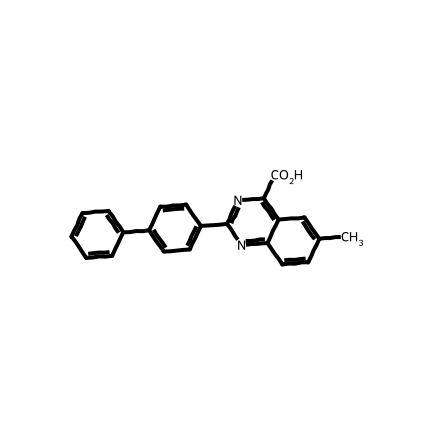 Cc1ccc2nc(-c3ccc(-c4ccccc4)cc3)nc(C(=O)O)c2c1